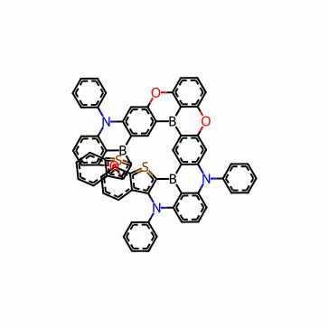 c1ccc(N2c3cc4c(cc3B3c5sc6ccccc6c5Oc5cccc2c53)B2c3cc5c(cc3Oc3cccc(c32)O4)N(c2ccccc2)c2cccc3c2B5c2sc4ccccc4c2N3c2ccccc2)cc1